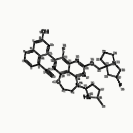 C#Cc1cccc2cc(O)cc(-c3nc4c5c(nc(OCC67CCCN6CC(F)C7)nc5c3F)N(C3CCC(C)N3)CCO4)c12